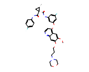 COc1cc2c(Oc3cc(F)cc(NC(=O)[C@@]4(C(=O)Nc5ccc(F)cc5)C[C@H]4C)c3)ccnc2cc1OCCCN1CCOCC1